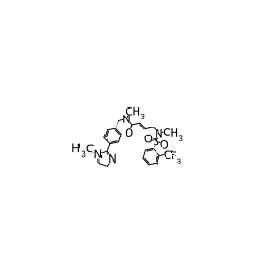 CN(Cc1ccc(C2=NCCN2C)cc1)C(=O)C=CCN(C)S(=O)(=O)c1ccccc1C(F)(F)F